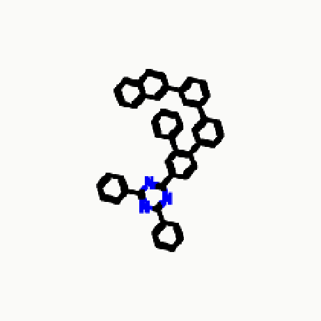 c1ccc(-c2nc(-c3ccccc3)nc(-c3ccc(-c4cccc(-c5cccc(-c6ccc7ccccc7c6)c5)c4)c(-c4ccccc4)c3)n2)cc1